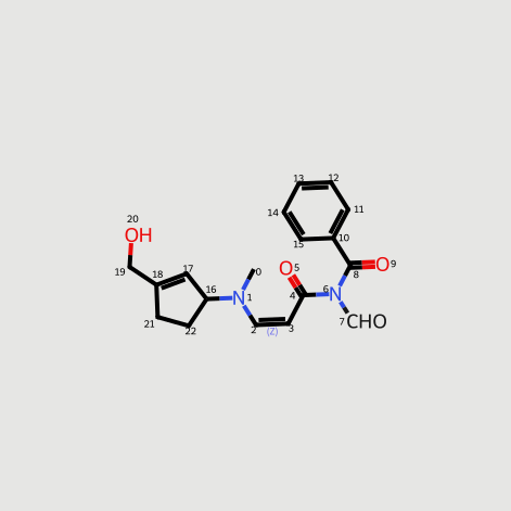 CN(/C=C\C(=O)N(C=O)C(=O)c1ccccc1)C1C=C(CO)CC1